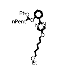 CCCCCC(OCC)Oc1ccccc1-c1ncc(OCCCCCCOCC)cn1